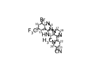 CC(Nc1ncnc2c(Br)cc(C(F)(F)F)cc12)c1nccnc1-c1ccc(C#N)cn1